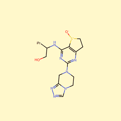 CC(C)C(CO)Nc1nc(N2CCn3cnnc3C2)nc2c1[S+]([O-])CC2